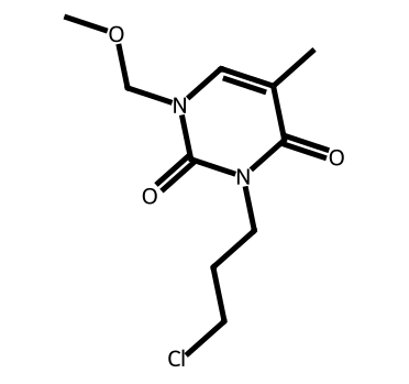 COCn1cc(C)c(=O)n(CCCCl)c1=O